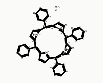 C1=Cc2nc1c(-c1ccccc1)c1ccc([nH]1)c(-c1ccccc1)c1nc(c(-c3ccccc3)c3ccc([nH]3)c2-c2ccccc2)C=C1.[Mn]